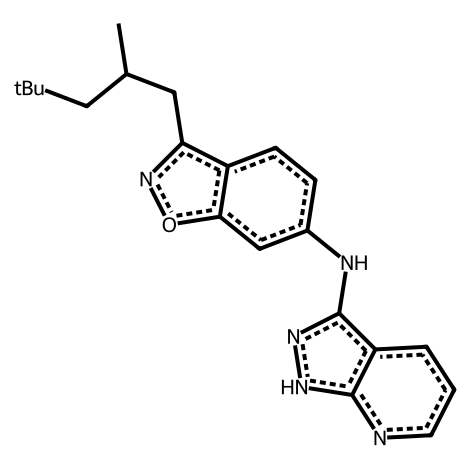 CC(Cc1noc2cc(Nc3n[nH]c4ncccc34)ccc12)CC(C)(C)C